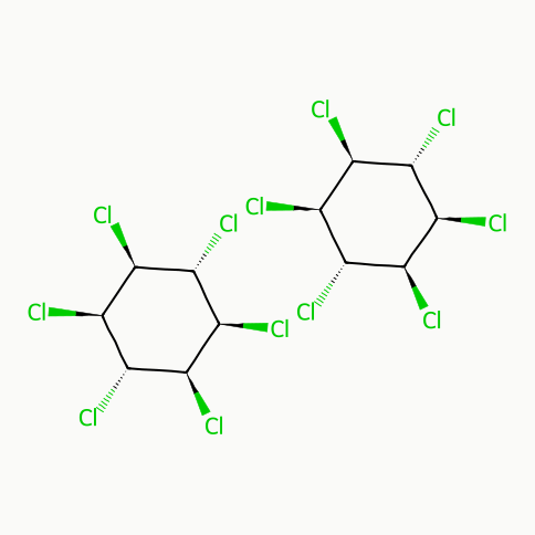 Cl[C@H]1[C@H](Cl)[C@@H](Cl)[C@@H](Cl)[C@H](Cl)[C@H]1Cl.Cl[C@H]1[C@H](Cl)[C@@H](Cl)[C@@H](Cl)[C@H](Cl)[C@H]1Cl